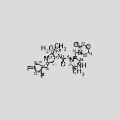 C[C@@H]1CN(CC(=O)N2CC(C)(C)c3cnc(Cc4ccc(F)cc4F)cc32)[C@@H](CN2CCOCC2=O)CN1